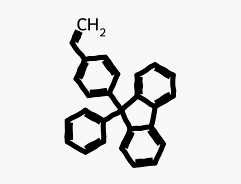 C=Cc1ccc(C2(c3ccccc3)c3ccccc3-c3ccccc32)cc1